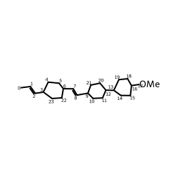 C/C=C/C1CCC(/C=C/C2CCC(C3CCC(OC)CC3)CC2)CC1